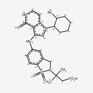 CC(C)(CC(=O)O)N1Cc2cc(Nc3nn(C4CCCCC4C#N)c4cc[nH]c(=O)c34)ccc2S1(=O)=O